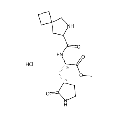 COC(=O)[C@H](C[C@@H]1CCNC1=O)NC(=O)C1CC2(CCC2)CN1.Cl